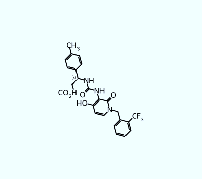 Cc1ccc([C@H](CC(=O)O)NC(=O)Nc2c(O)ccn(Cc3ccccc3C(F)(F)F)c2=O)cc1